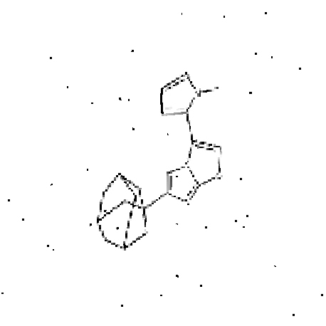 Cn1cccc1-c1csc2nc(C34CC5CC(CC(C5)C3)C4)cn12